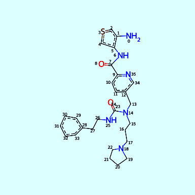 Nc1cscc1NC(=O)c1ccc(CN(CCCN2CCCC2)C(=O)NCCc2ccccc2)cn1